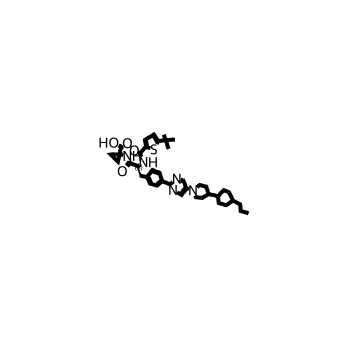 CCCC1CCC(C2CCN(c3cnc(-c4ccc(C[C@H](NC(=O)c5ccc(C(C)(C)C)s5)C(=O)NC5(C(=O)O)CC5)cc4)nc3)CC2)CC1